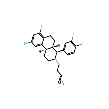 C=CCC[C@@H]1CC[C@H]2c3cc(F)cc(F)c3CC[C@@H]2[C@H]1c1ccc(F)c(F)c1